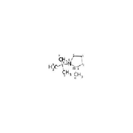 C[C@H]1CCCN1C(C)(C)C